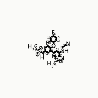 CCS(=O)(=O)Nc1ccc(Oc2ccc(F)cc2F)c(-c2cc(NCC#N)c3nnc(C)n3n2)c1